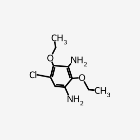 CCOc1c(N)cc(Cl)c(OCC)c1N